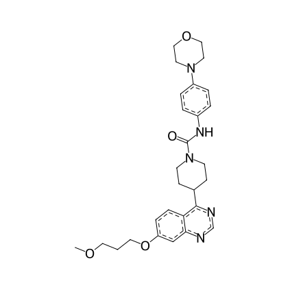 COCCCOc1ccc2c(C3CCN(C(=O)Nc4ccc(N5CCOCC5)cc4)CC3)ncnc2c1